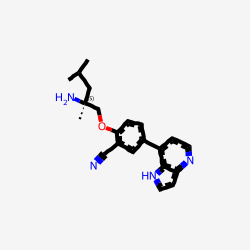 CC(C)C[C@](C)(N)COc1ccc(-c2ccnc3cc[nH]c23)cc1C#N